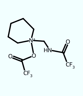 O=C(NC[N+]1(OC(=O)C(F)(F)F)CCCCC1)C(F)(F)F